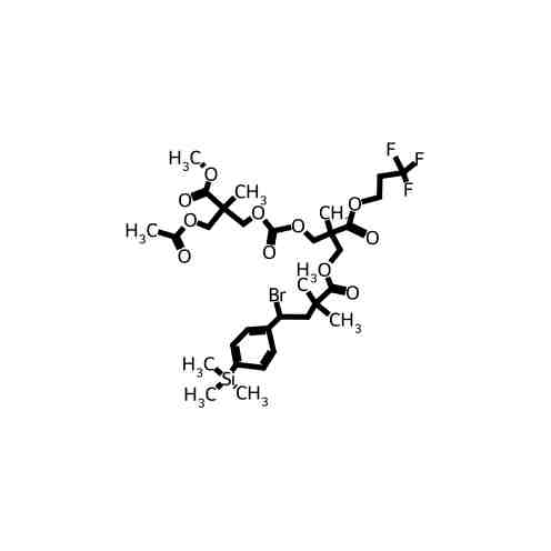 COC(=O)C(C)(COC(C)=O)COC(=O)OCC(C)(COC(=O)C(C)(C)CC(Br)c1ccc([Si](C)(C)C)cc1)C(=O)OCCC(F)(F)F